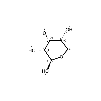 O[C@@H]1[C@H](O)[C@H](O)CO[C@H]1O